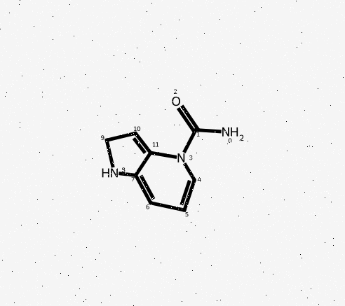 NC(=O)N1C=CC=C2NCC=C21